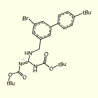 CC(C)(C)OC(=O)/N=C(/NCc1cc(Br)cc(-c2ccc(C(C)(C)C)cc2)c1)NC(=O)OC(C)(C)C